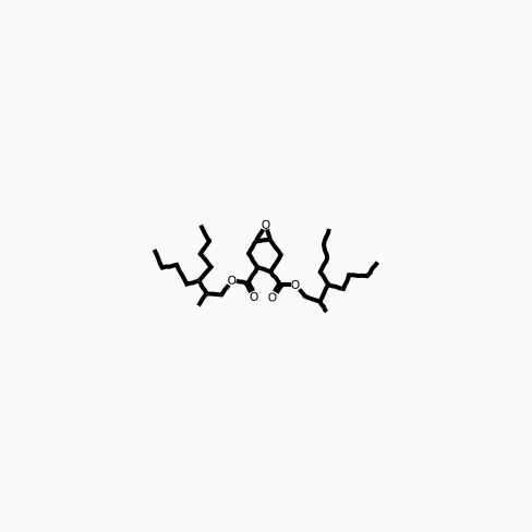 CCCCC(CCCC)C(C)COC(=O)C1CC2OC2CC1C(=O)OCC(C)C(CCCC)CCCC